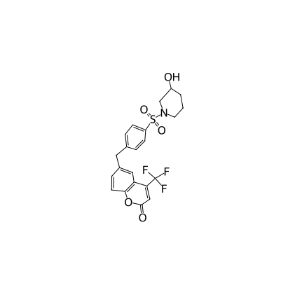 O=c1cc(C(F)(F)F)c2cc(Cc3ccc(S(=O)(=O)N4CCCC(O)C4)cc3)ccc2o1